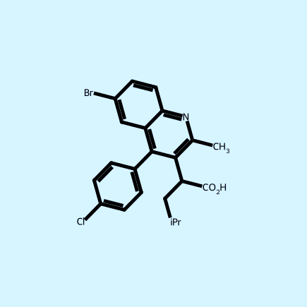 Cc1nc2ccc(Br)cc2c(-c2ccc(Cl)cc2)c1C(CC(C)C)C(=O)O